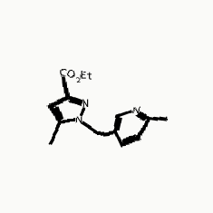 CCOC(=O)c1cc(C)n(Cc2ccc(C)nc2)n1